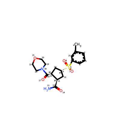 Cc1cccc(S(=O)(=O)[C@@H]2C[C@@H](C(N)=O)[C@H](C(=O)N3CCOCC3)C2)c1